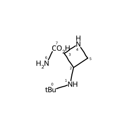 CC(C)(C)NC1CNC1.NC(=O)O